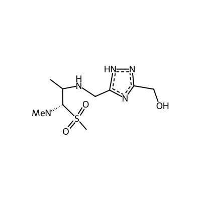 CN[C@H](C(C)NCc1nc(CO)n[nH]1)S(C)(=O)=O